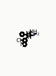 C/C=C/c1nc(-c2cc(Cl)c3ncccc3c2)c(-c2ccccc2)nc1N